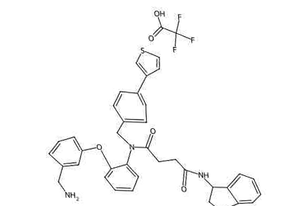 NCc1cccc(Oc2ccccc2N(Cc2ccc(-c3ccsc3)cc2)C(=O)CCC(=O)NC2CCc3ccccc32)c1.O=C(O)C(F)(F)F